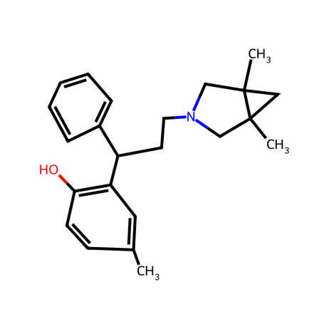 Cc1ccc(O)c(C(CCN2CC3(C)CC3(C)C2)c2ccccc2)c1